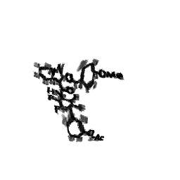 COc1ccc(COc2nn3ccccc3c2C(=O)Nc2c(F)c(F)c(-c3cccc(OCC(C)=O)c3)c(F)c2F)cc1